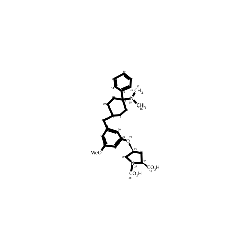 COc1cc(CC2CCC(c3ccccc3)(N(C)C)CC2)cc(O[C@H]2C[C@@H](C(=O)O)N(C(=O)O)C2)c1